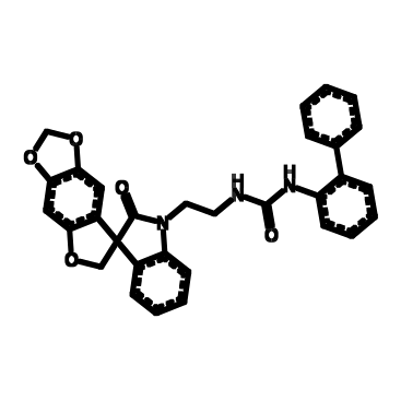 O=C(NCCN1C(=O)C2(COc3cc4c(cc32)OCO4)c2ccccc21)Nc1ccccc1-c1ccccc1